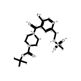 CC(C)(C)OC(=O)N1CCN(C(=O)c2cc(COS(C)(=O)=O)ncc2F)CC1